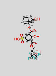 O=C(OCCC(O)(C(F)(F)F)C(F)(F)F)c1cc(S(=O)(=O)O)cc(C(=O)OCC23CC4CC(CC(O)(C4)C2)C3)c1O